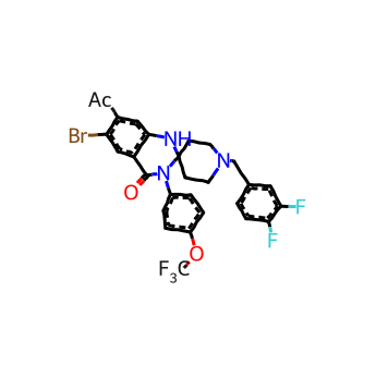 CC(=O)c1cc2c(cc1Br)C(=O)N(c1ccc(OC(F)(F)F)cc1)C1(CCN(Cc3ccc(F)c(F)c3)CC1)N2